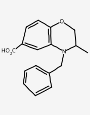 CC1COc2ccc(C(=O)O)cc2N1Cc1ccccc1